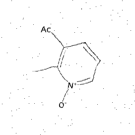 CC(=O)c1ccc[n+]([O-])c1C